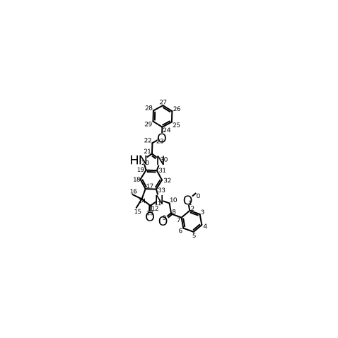 COc1ccccc1C(=O)CN1C(=O)C(C)(C)c2cc3[nH]c(COc4ccccc4)nc3cc21